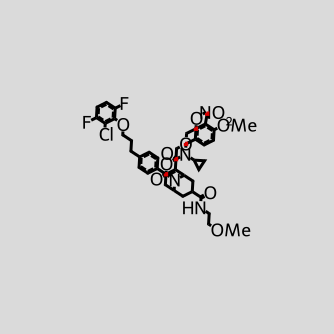 COCCNC(=O)C1CC2CC(c3ccc(CCCOc4c(F)ccc(F)c4Cl)cc3)=C(C(=O)N(Cc3ccc(OC)c(C)c3)C3CC3)C(C1)N2C(=O)OCCOCCO[N+](=O)[O-]